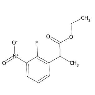 CCOC(=O)C(C)c1cccc([N+](=O)[O-])c1F